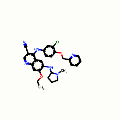 CCOc1cc2ncc(C#N)c(Nc3ccc(OCc4ccccn4)c(Cl)c3)c2cc1NC1CCCN1C